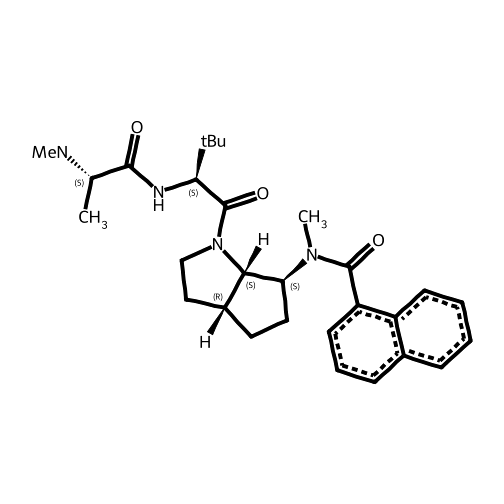 CN[C@@H](C)C(=O)N[C@H](C(=O)N1CC[C@H]2CC[C@H](N(C)C(=O)c3cccc4ccccc34)[C@H]21)C(C)(C)C